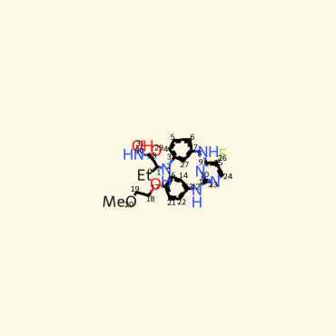 CCC(Nc1cccc(Nc2nc(Nc3ccc(OCCOC)cc3)ncc2F)c1)C(=O)NO